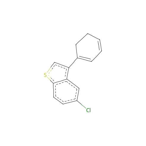 Clc1ccc2scc(C3=CC=CCC3)c2c1